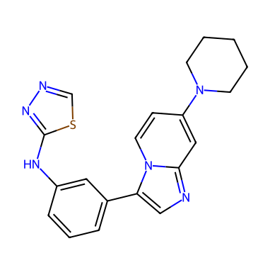 c1cc(Nc2nncs2)cc(-c2cnc3cc(N4CCCCC4)ccn23)c1